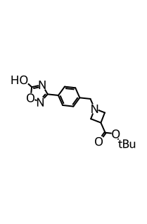 CC(C)(C)OC(=O)C1CN(Cc2ccc(-c3noc(O)n3)cc2)C1